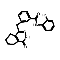 CC(C)c1ccccc1NC(=O)c1cccc(Cc2n[nH]c(=O)c3c2CCCC3)c1